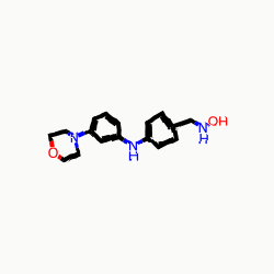 ONCc1ccc(Nc2cccc(N3CCOCC3)c2)cc1